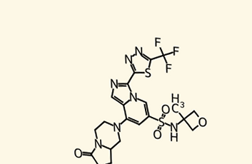 CC1(NS(=O)(=O)c2cc(N3CCN4C(=O)CCC4C3)c3cnc(-c4nnc(C(F)(F)F)s4)n3c2)COC1